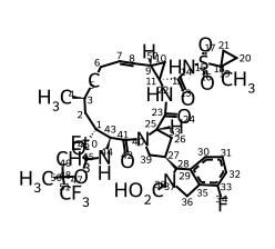 CC[C@@H]1C[C@@H](C)CC/C=C\[C@@H]2C[C@@]2(C(=O)NS(=O)(=O)C2(C)CC2)NC(=O)[C@@H]2C[C@@H](C3c4cccc(F)c4CN3C(=O)O)CN2C(=O)[C@H]1NC(=O)OC(C)(C)C(F)(F)F